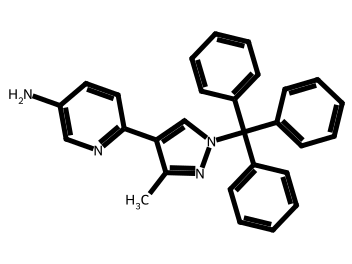 Cc1nn(C(c2ccccc2)(c2ccccc2)c2ccccc2)cc1-c1ccc(N)cn1